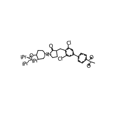 CC(C)[Si](OC1CCN(N2CCC(Cc3c(Cl)cc(-c4ccc(S(C)(=O)=O)cc4)cc3Cl)C2=O)CC1)(C(C)C)C(C)C